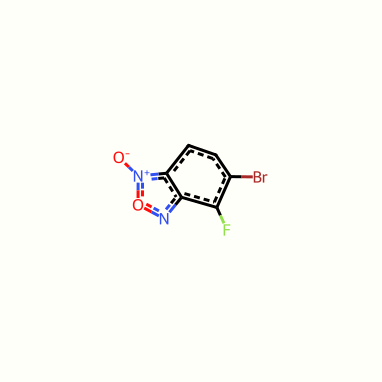 [O-][n+]1onc2c(F)c(Br)ccc21